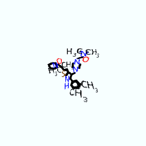 Cc1cc(C)cc(C2Nc3sc(C(C)(C)C(=O)N4C5CCC4CC5)cc3C2CN2CCN(CC(=O)N(C)C)CC2)c1